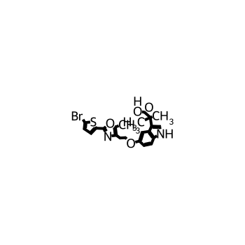 Cc1oc(-c2ccc(Br)s2)nc1CCOc1ccc2[nH]cc(C(C)(C)C(=O)O)c2c1